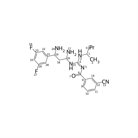 CC(C)C(C)N/C(=N/C(=O)c1cccc(C#N)c1)NC(N)CC(N)c1cc(F)cc(F)c1